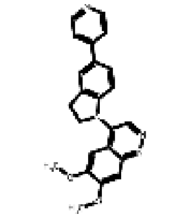 COc1cc2nncc(N3CCc4cc(-c5ccncc5)ccc43)c2cc1OC